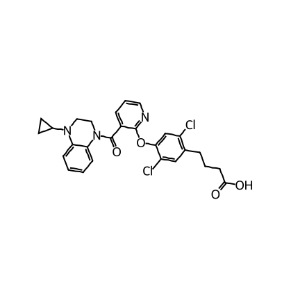 O=C(O)CCCc1cc(Cl)c(Oc2ncccc2C(=O)N2CCN(C3CC3)c3ccccc32)cc1Cl